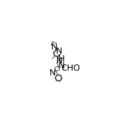 Cc1cc(N2CCC2)ncc1N(C)CC1(NC=O)CC(c2ccccc2)(N(C)C)C1